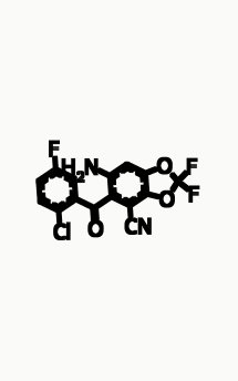 N#Cc1c2c(cc(N)c1C(=O)c1cc(F)ccc1Cl)OC(F)(F)O2